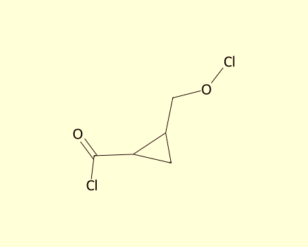 O=C(Cl)C1CC1COCl